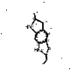 CCC1Cc2cc3c(cc2N1)NC(C)C3